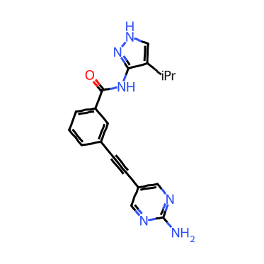 CC(C)c1c[nH]nc1NC(=O)c1cccc(C#Cc2cnc(N)nc2)c1